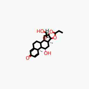 CCC1O[C@@H]2CC3C4CCC5=CC(=O)C=C[C@]5(C)C4[C@@H](O)C[C@]3(C)[C@]2(C(=O)CO)O1